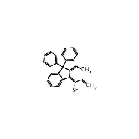 C=C/C(S)=C1\C(=C/C)C(c2ccccc2)(c2ccccc2)c2ccccc21